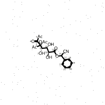 CC(=O)O[C@@](C(C)=O)(C(=O)C(C)=O)[C@@H](O)[C@H](O)[C@H](O)C(=O)OC(C#N)c1ccccc1